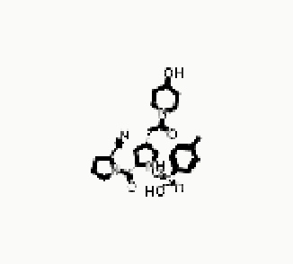 Cc1ccc(S(=O)(=O)O)cc1.N#C[C@@H]1CCCN1C(=O)[C@@H]1C[C@H](CC(=O)N2CCC(O)CC2)CN1